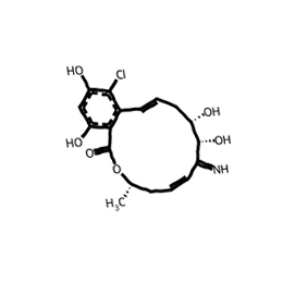 C[C@H]1C/C=C\C(=N)[C@@H](O)[C@@H](O)C/C=C/c2c(Cl)c(O)cc(O)c2C(=O)O1